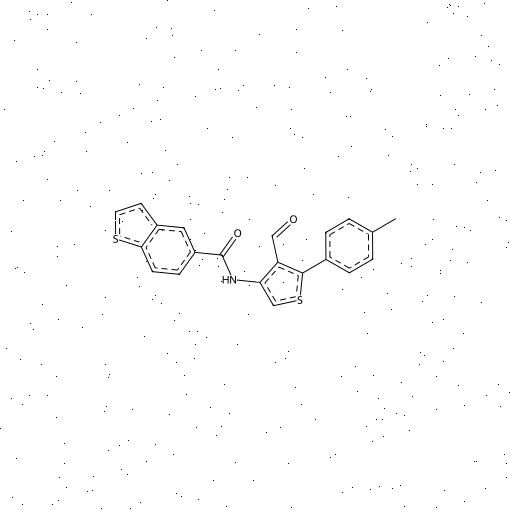 Cc1ccc(-c2scc(NC(=O)c3ccc4sccc4c3)c2C=O)cc1